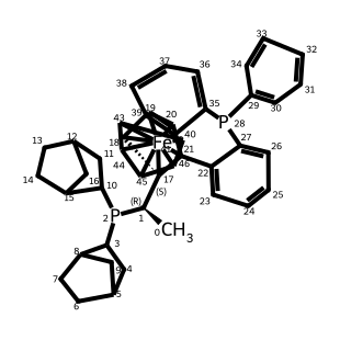 C[C@@H](P(C1CC2CCC1C2)C1CC2CCC1C2)[C@]12[CH]3[CH]4[CH]5[C]1(c1ccccc1P(c1ccccc1)c1ccccc1)[Fe]45321678[CH]2[CH]1[CH]6[CH]7[CH]28